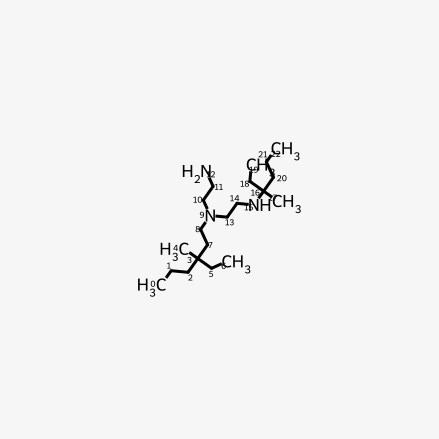 CCCC(C)(CC)CCN(CCN)CCNC(C)(CC)CCC